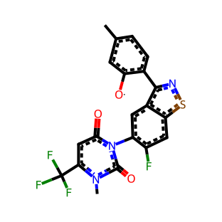 Cc1ccc(-c2nsc3cc(F)c(-n4c(=O)cc(C(F)(F)F)n(C)c4=O)cc23)c([O])c1